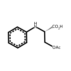 CC(=O)OC[C@H](Nc1ccccc1)C(=O)O